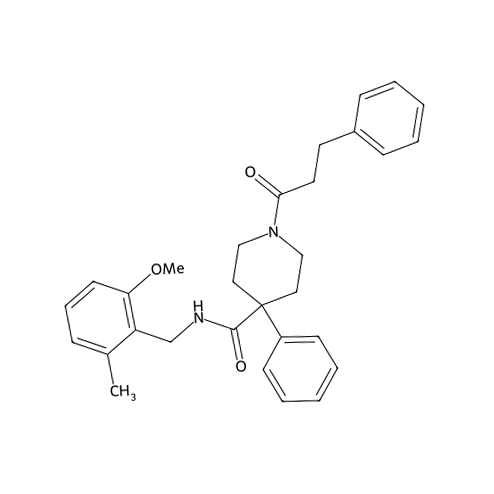 COc1cccc(C)c1CNC(=O)C1(c2ccccc2)CCN(C(=O)CCc2ccccc2)CC1